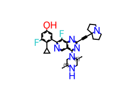 C[C@H]1CN(c2nc(C#CC34CCCN3CCC4)nc3c(F)c(-c4cc(O)cc(F)c4C4CC4)ncc23)[C@@H](C)CN1